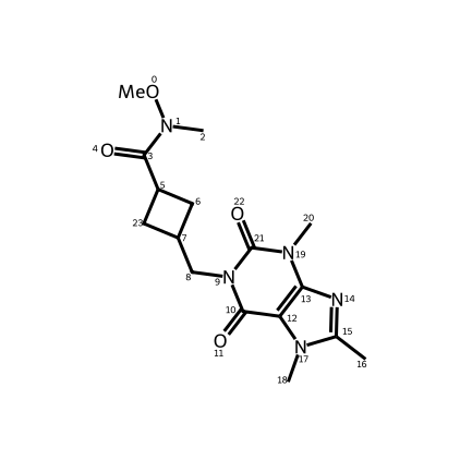 CON(C)C(=O)C1CC(Cn2c(=O)c3c(nc(C)n3C)n(C)c2=O)C1